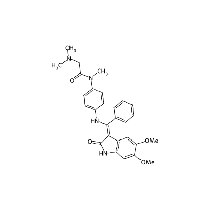 COc1cc2c(cc1OC)/C(=C(/Nc1ccc(N(C)C(=O)CN(C)C)cc1)c1ccccc1)C(=O)N2